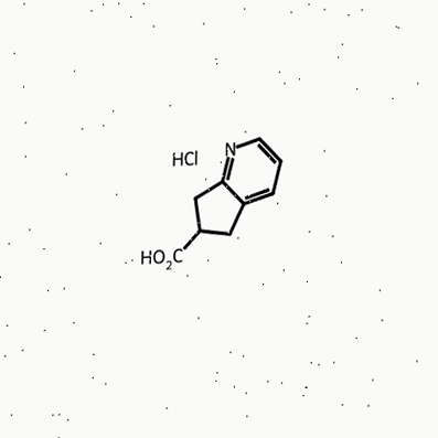 Cl.O=C(O)C1Cc2cccnc2C1